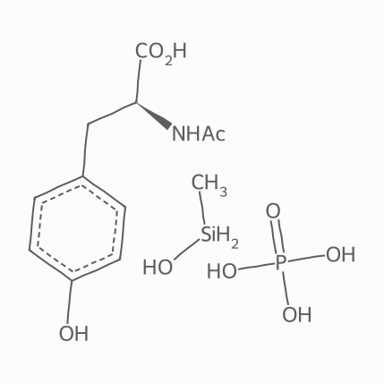 CC(=O)N[C@@H](Cc1ccc(O)cc1)C(=O)O.C[SiH2]O.O=P(O)(O)O